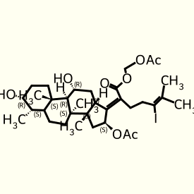 CC(=O)OCOC(=O)C(CCC(I)=C(C)C)=C1[C@@H](OC(C)=O)C[C@@]2(C)[C@@H]1C[C@@H](O)[C@@H]1[C@@]3(C)CC[C@@H](O)[C@@H](C)C3CC[C@@]12C